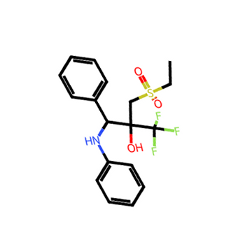 CCS(=O)(=O)CC(O)(C(Nc1ccccc1)c1ccccc1)C(F)(F)F